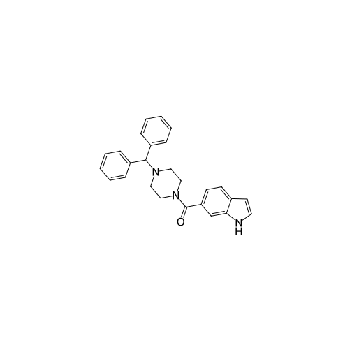 O=C(c1ccc2cc[nH]c2c1)N1CCN(C(c2ccccc2)c2ccccc2)CC1